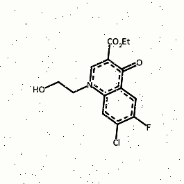 CCOC(=O)c1cn(CCO)c2cc(Cl)c(F)cc2c1=O